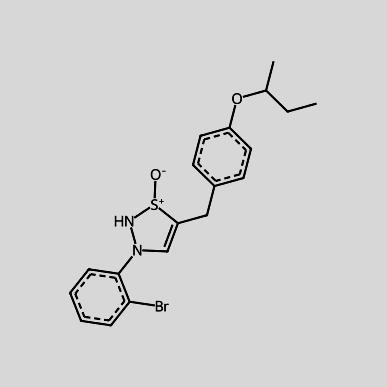 CCC(C)Oc1ccc(CC2=CN(c3ccccc3Br)N[S+]2[O-])cc1